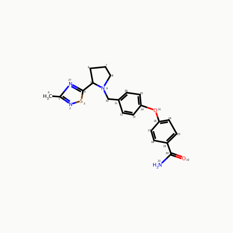 Cc1nsc(C2CCCN2Cc2ccc(Oc3ccc(C(N)=O)cc3)cc2)n1